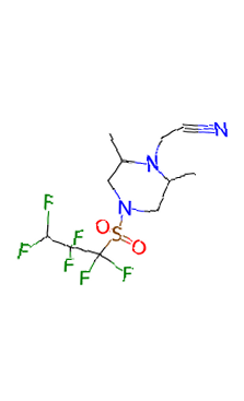 CC1CN(S(=O)(=O)C(F)(F)C(F)(F)C(F)F)CC(C)N1CC#N